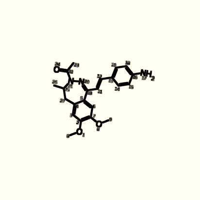 COc1cc2c(cc1OC)C(/C=C/c1ccc(N)cc1)=NN(C(C)=O)C(C)C2